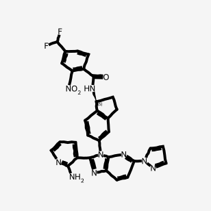 Nc1ncccc1-c1nc2ccc(-n3cccn3)nc2n1-c1ccc2c(c1)CC[C@@H]2NC(=O)c1ccc(C(F)F)cc1[N+](=O)[O-]